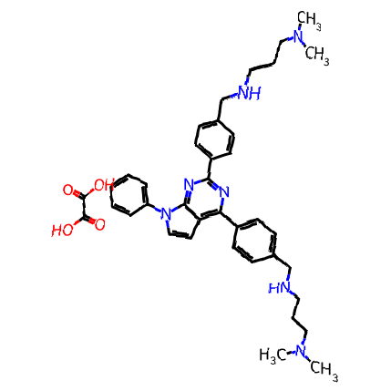 CN(C)CCCNCc1ccc(-c2nc(-c3ccc(CNCCCN(C)C)cc3)c3ccn(-c4ccccc4)c3n2)cc1.O=C(O)C(=O)O